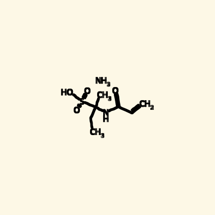 C=CC(=O)NC(C)(CC)S(=O)(=O)O.N